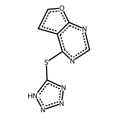 c1nc(Sc2nnn[nH]2)c2ccoc2n1